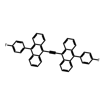 Fc1ccc(-c2c3ccccc3c(C#Cc3c4ccccc4c(-c4ccc(F)cc4)c4ccccc34)c3ccccc23)cc1